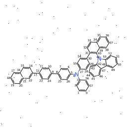 c1ccc(N(c2ccc(-c3ccc(-c4ccc5ccccc5c4)cc3)cc2)c2ccc(-c3ccc4ccccc4c3-n3c4ccccc4c4ccccc43)cc2)cc1